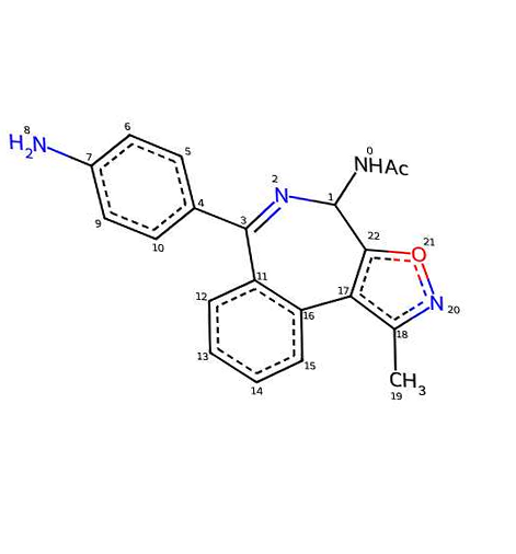 CC(=O)NC1N=C(c2ccc(N)cc2)c2ccccc2-c2c(C)noc21